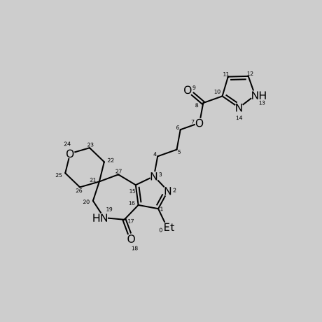 CCc1nn(CCCOC(=O)c2cc[nH]n2)c2c1C(=O)NCC1(CCOCC1)C2